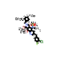 COc1ccc(CN2Cc3c(c(O[Si](C(C)C)(C(C)C)C(C)C)c4ncc(Cc5ccc(F)c(Cl)c5)cc4c3N(C)S(C)(=O)=O)C2=O)c(OC)c1